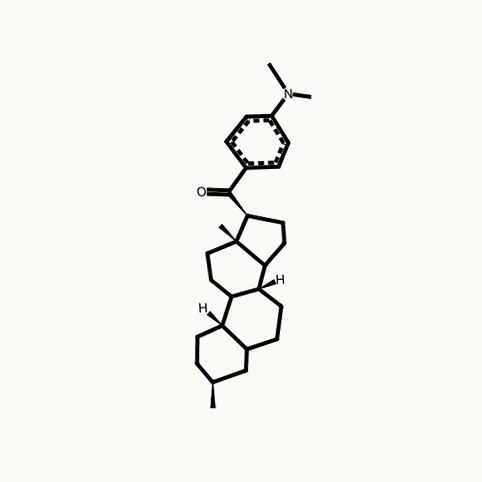 C[C@H]1CC[C@H]2C(CC[C@@H]3C2CC[C@@]2(C)C3CC[C@@H]2C(=O)c2ccc(N(C)C)cc2)C1